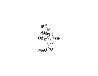 COC(=O)CC[C@H]1C(O)CN(C(=O)OC(C)(C)C)C1CC(=O)OC